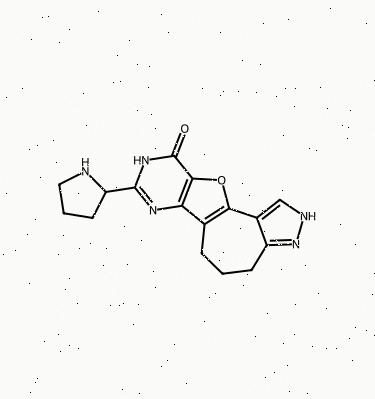 O=c1[nH]c(C2CCCN2)nc2c3c(oc12)-c1c[nH]nc1CCC3